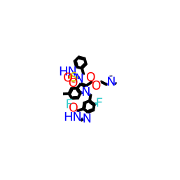 Cc1cc2c(N3Cc4ccccc4NS3(=O)=O)c(C(=O)OCCN(C)C)n(Cc3cc4c(=O)[nH]cnc4cc3F)c2cc1F